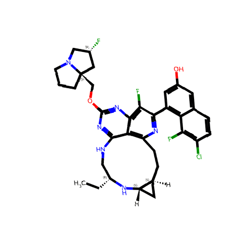 CC[C@@H]1CNc2nc(OC[C@@]34CCCN3C[C@H](F)C4)nc3c(F)c(-c4cc(O)cc5ccc(Cl)c(F)c45)nc(c23)CC[C@H]2C[C@@H]2N1